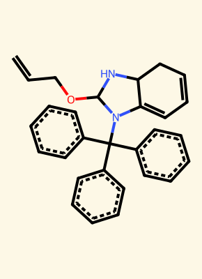 C=CCOC1NC2CC=CC=C2N1C(c1ccccc1)(c1ccccc1)c1ccccc1